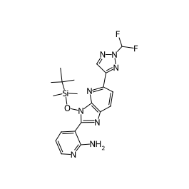 CC(C)(C)[Si](C)(C)On1c(-c2cccnc2N)nc2ccc(-c3cnn(C(F)F)n3)nc21